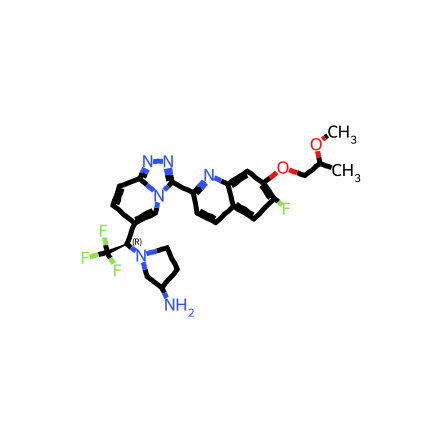 COC(C)COc1cc2nc(-c3nnc4ccc([C@@H](N5CCC(N)C5)C(F)(F)F)cn34)ccc2cc1F